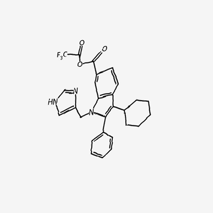 O=C(OC(=O)C(F)(F)F)c1ccc2c(C3CCCCC3)c(-c3ccccc3)n(Cc3c[nH]cn3)c2c1